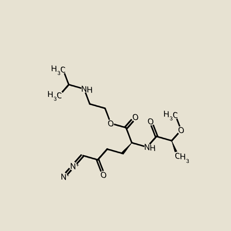 CO[C@@H](C)C(=O)N[C@@H](CCC(=O)C=[N+]=[N-])C(=O)OCCNC(C)C